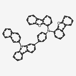 c1ccc2cc(-n3c4ccccc4c4ccc(-c5ccc(N(c6cccc7c6oc6ccccc67)c6cccc7c6oc6ccccc67)cc5)cc43)ccc2c1